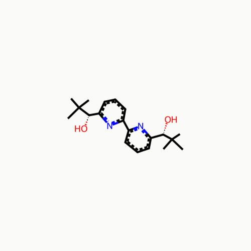 CC(C)(C)[C@@H](O)c1cccc(-c2cccc([C@H](O)C(C)(C)C)n2)n1